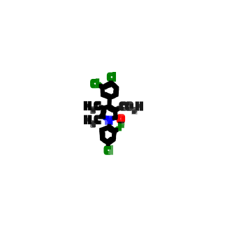 Cc1c(-c2ccc(Cl)c(Cl)c2)c(C(=O)O)c(=O)n(-c2ccc(Cl)cc2F)c1C